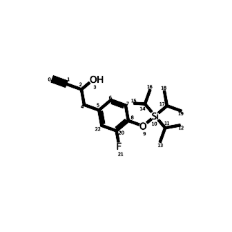 C#CC(O)Cc1ccc(O[Si](C(C)C)(C(C)C)C(C)C)c(F)c1